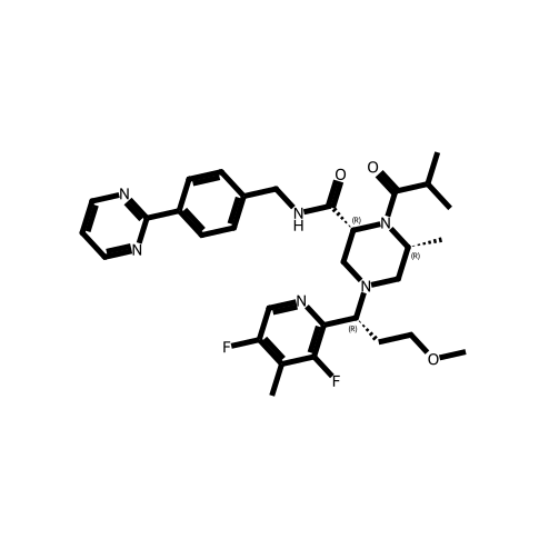 COCC[C@H](c1ncc(F)c(C)c1F)N1C[C@@H](C)N(C(=O)C(C)C)[C@@H](C(=O)NCc2ccc(-c3ncccn3)cc2)C1